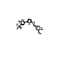 CCC(CNCOc1ccc(-c2cc(C(F)(F)F)n(C)n2)s1)OC